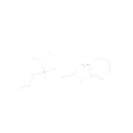 CCCC(C=Cc1cc2ccccc2o1)(SC)[S+](C)[O-]